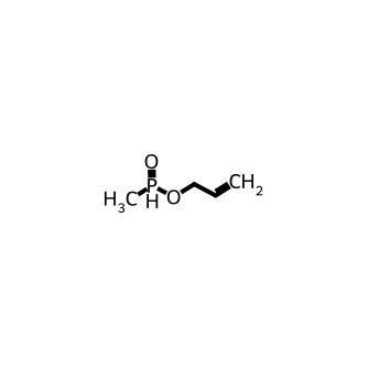 C=CCO[PH](C)=O